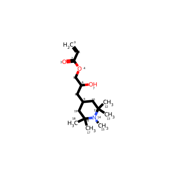 C=CC(=O)OCC(O)CC1CC(C)(C)N(C)C(C)(C)C1